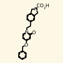 O=C(O)N1Cc2ccc(CCn3ccc(OCc4ccccc4)cc3=O)cc2C1